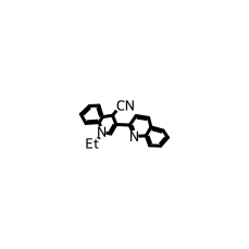 CCN1C=C(c2ccc3ccccc3n2)C(C#N)c2ccccc21